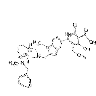 CCc1c(-c2ccc3c(c2)cc(CN2C[C@H]4CCC[C@@H](N(C)Cc5ccccc5)[C@H]4C2)n3C)[nH]c(=O)c(C(=O)O)c1O